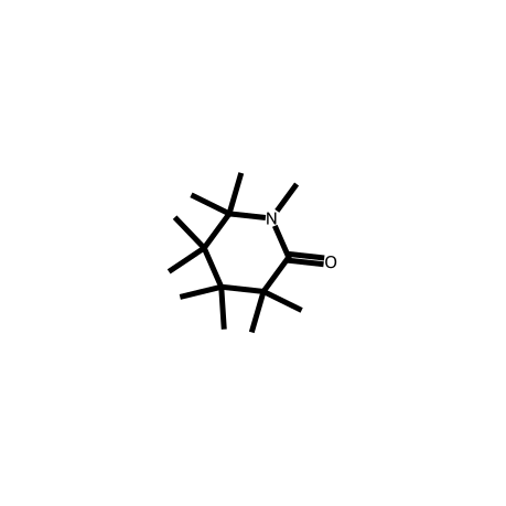 CN1C(=O)C(C)(C)C(C)(C)C(C)(C)C1(C)C